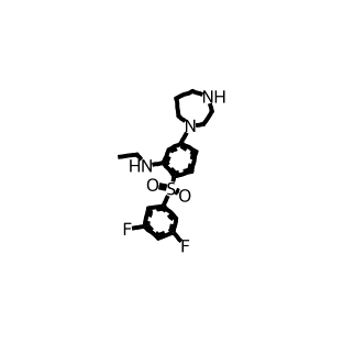 CCNc1cc(N2CCCNCC2)ccc1S(=O)(=O)c1cc(F)cc(F)c1